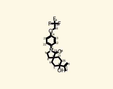 C=C(C)C1(O)CCC2(CCN(c3ccc(OCC(F)(F)F)cc3)C2=O)CC1